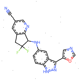 N#Cc1cnc2c(c1)CC(F)(F)C2Nc1ccc2[nH]nc(-c3cnco3)c2c1